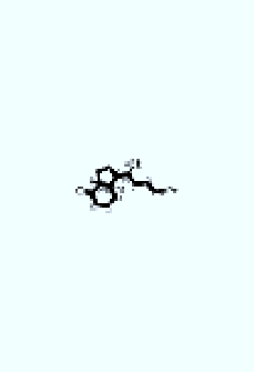 CC[C@@H](CCCC(C)C)C1CC[C@H]2C(=O)CCC[C@]12C